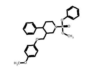 COc1ccc(OCC2CN(P(=O)(OC)Oc3ccccc3)CCC2c2ccccc2)cc1